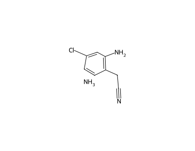 N.N#CCc1ccc(Cl)cc1N